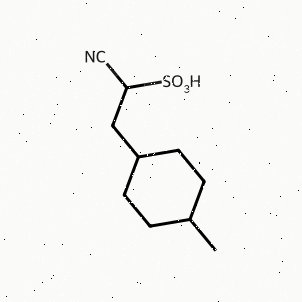 CC1CCC(CC(C#N)S(=O)(=O)O)CC1